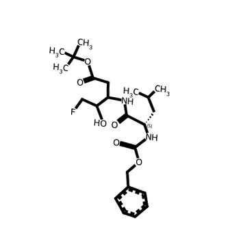 CC(C)C[C@H](NC(=O)OCc1ccccc1)C(=O)NC(CC(=O)OC(C)(C)C)C(O)CF